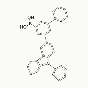 OB(O)c1cc(-c2ccccc2)cc(-c2ccc3c(c2)c2ccccc2n3-c2ccccc2)c1